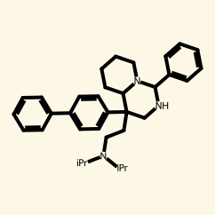 CC(C)N(CCC1(c2ccc(-c3ccccc3)cc2)CNC(c2ccccc2)N2CCCCC21)C(C)C